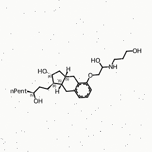 CCCCC[C@H](O)CC[C@@H]1[C@H]2Cc3cccc(OCC(O)NCCCO)c3C[C@H]2C[C@H]1O